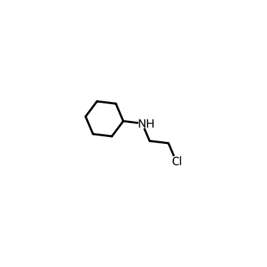 ClCCNC1CCCCC1